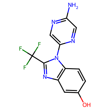 Nc1cnc(-n2c(C(F)(F)F)nc3cc(O)ccc32)cn1